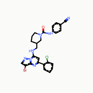 N#Cc1ccc(NC(=O)N2CCCC(CNc3cc(-c4ccccc4Cl)nc4c(Br)cnn34)C2)cc1